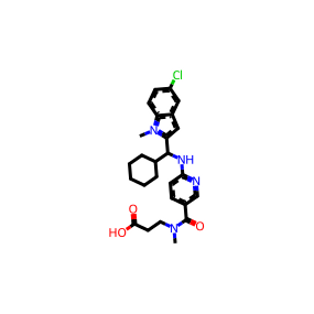 CN(CCC(=O)O)C(=O)c1ccc(NC(c2cc3cc(Cl)ccc3n2C)C2CCCCC2)nc1